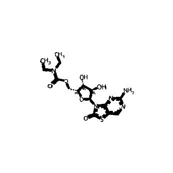 CCN(CC)C(=O)OC[C@H]1OC(n2c(=O)sc3cnc(N)nc32)[C@H](O)[C@H]1O